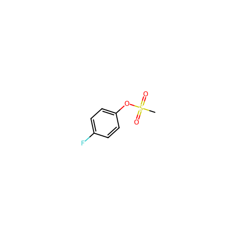 CS(=O)(=O)Oc1ccc(F)cc1